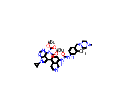 CN1CCN(Cc2ccc(NC(=O)Nc3ccc(-c4cn(C5CC5)c5ncnc(N(C(=O)OC(C)(C)C)C(=O)OC(C)(C)C)c45)c4ccncc34)cc2C(F)(F)F)CC1